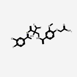 C=C(NCC(O)(C(=C)/N=C(\C)c1ccc(F)c(Cl)c1)C(F)F)c1ccc(OCC(N)=O)c(OC)c1